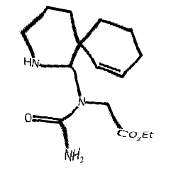 CCOC(=O)CN(C(N)=O)C1NCCCC12C=CCCC2